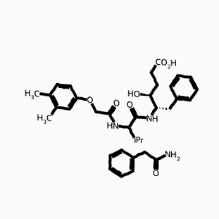 Cc1ccc(OCC(=O)NC(C(=O)N[C@@H](Cc2ccccc2)[C@@H](O)CCC(=O)O)C(C)C)cc1C.NC(=O)Cc1ccccc1